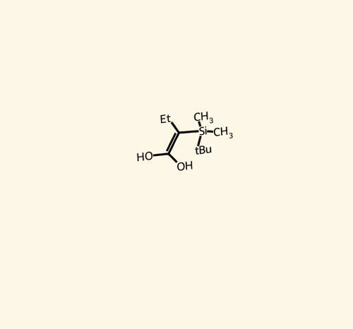 CCC(=C(O)O)[Si](C)(C)C(C)(C)C